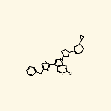 Clc1ncc2c(-c3nc(Cc4ccccc4)cs3)cn(C3CCC(C4=CCCN(C5CC5)C4)C3)c2n1